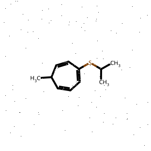 CC1C=CC=C(SC(C)C)C=C1